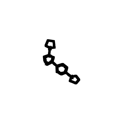 [c]1ccc(N2CCCC2)cc1-c1ccc(N2CCCC2)cc1